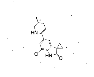 C[C@H]1CC=C(c2cc(Cl)c3c(c2)C2(CC2)C(=O)N3)NC1